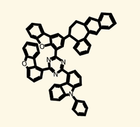 c1ccc(-n2c3ccccc3c3c(-c4nc(-c5cc(C6CCc7cc8ccccc8cc7-c7ccccc76)cc6c5oc5ccccc56)nc(-c5cccc6oc7ccccc7c56)n4)cccc32)cc1